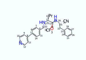 CC(C)[C@H](N[C@@H](c1ccc(-c2ccncc2)cc1)C(F)(F)F)C(=O)N[C@H](C#N)Cc1ccccc1